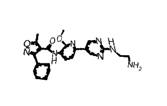 COc1nc(-c2cnc(NCCN)nc2)ccc1NC(=O)c1c(-c2ccccc2)noc1C